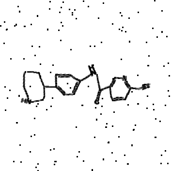 CCc1ccc(C(=O)Nc2ccc(C3CCCNC3)cc2)cn1